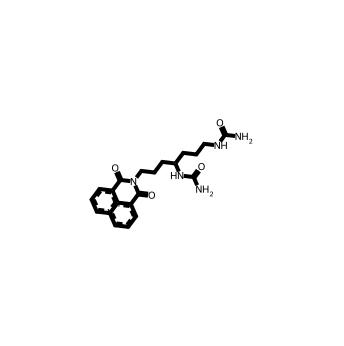 NC(=O)NCCCC(CCCN1C(=O)c2cccc3cccc(c23)C1=O)NC(N)=O